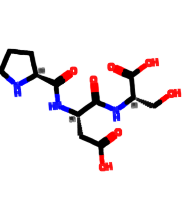 O=C(O)C[C@H](NC(=O)[C@@H]1CCCN1)C(=O)N[C@@H](CO)C(=O)O